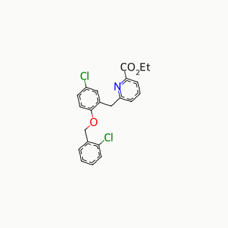 CCOC(=O)c1cccc(Cc2cc(Cl)ccc2OCc2ccccc2Cl)n1